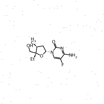 CC[C@]1(CO)O[C@@H](n2cc(F)c(N)nc2=O)C[C@@H]1C